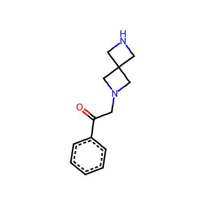 O=C(CN1CC2(CNC2)C1)c1ccccc1